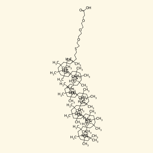 CC(C)(C)CC(C)(C)CC(C)(C)CC(C)(C)CC(C)(C)CC(C)(C)CC(C)(C)CC(C)(C)CC(C)(C)CC(C)(C)CC(C)(C)CC(C)(C)CC(C)(C)CC(C)(C)CC(C)(C)CC(C)(C)CC(C)(C)CC(C)(C)CC(C)(C)CC(C)(C)CC(C)(C)CC(C)(C)CC(C)(C)CC(C)(C)CC(C)(C)CC(C)(C)CC(C)(C)CC(C)(C)CC(C)(C)CC(C)(C)CCCSCCOCCOCCOCCC(=O)O